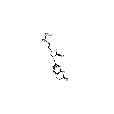 O=C(O)NCCC1CN(c2ccc3c(n2)NC(=O)CS3)C(=O)O1